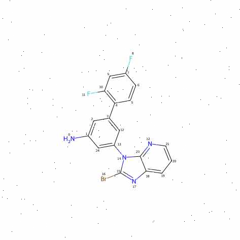 Nc1cc(-c2ccc(F)cc2F)cc(-n2c(Br)nc3cccnc32)c1